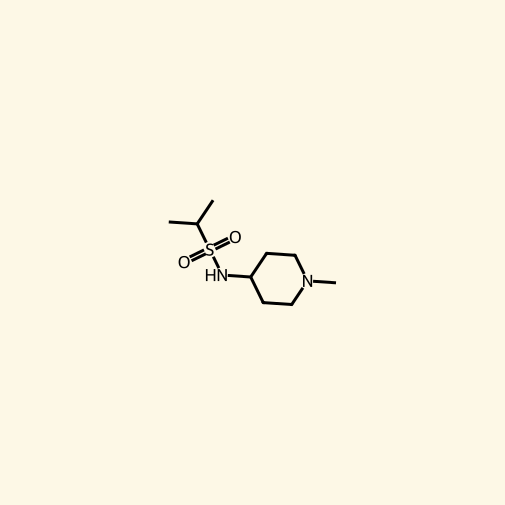 CC(C)S(=O)(=O)NC1CCN(C)CC1